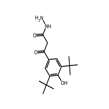 CC(C)(C)c1cc(C(=O)CC(=O)NN)cc(C(C)(C)C)c1O